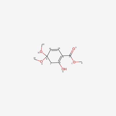 COC(=O)C1=C(O)CC(OC)(OC)C=C1